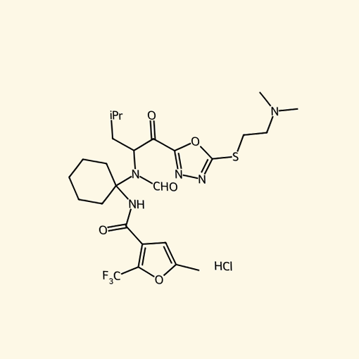 Cc1cc(C(=O)NC2(N(C=O)C(CC(C)C)C(=O)c3nnc(SCCN(C)C)o3)CCCCC2)c(C(F)(F)F)o1.Cl